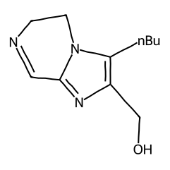 CCCCc1c(CO)nc2n1CCN=C2